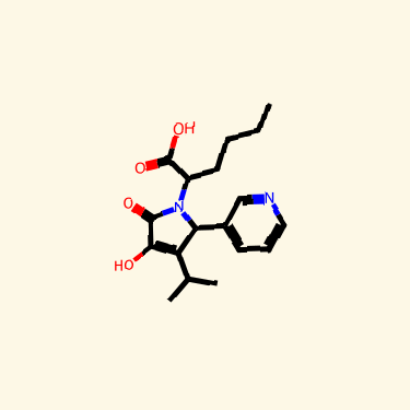 CCCCC(C(=O)O)N1C(=O)C(O)=C(C(C)C)C1c1cccnc1